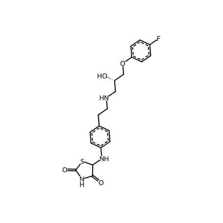 O=C1NC(=O)C(Nc2ccc(CCNC[C@H](O)COc3ccc(F)cc3)cc2)S1